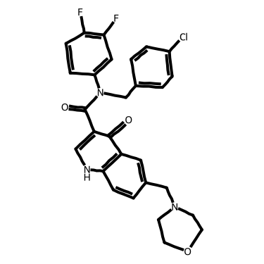 O=C(c1c[nH]c2ccc(CN3CCOCC3)cc2c1=O)N(Cc1ccc(Cl)cc1)c1ccc(F)c(F)c1